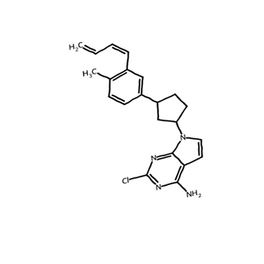 C=C/C=C\c1cc(C2CCC(n3ccc4c(N)nc(Cl)nc43)C2)ccc1C